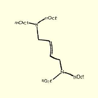 CCCCCCCCN(C/C=C/CN(CCCCCCCC)CCCCCCCC)CCCCCCCC